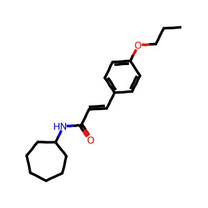 CCCOc1ccc(C=CC(=O)NC2CCCCCC2)cc1